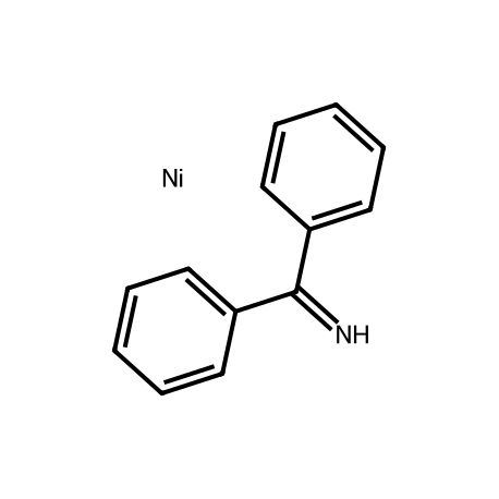 N=C(c1ccccc1)c1ccccc1.[Ni]